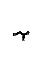 CCSC([S])=S